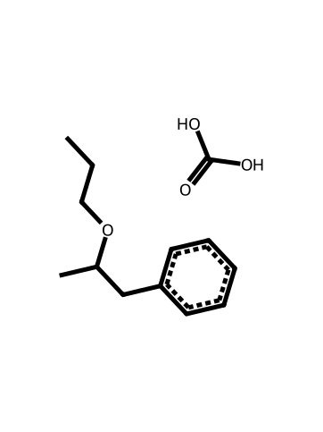 CCCOC(C)Cc1ccccc1.O=C(O)O